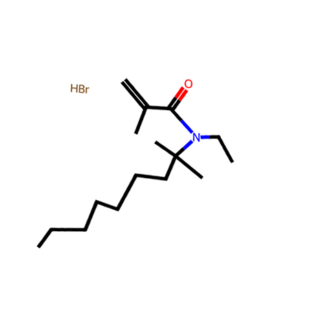 Br.C=C(C)C(=O)N(CC)C(C)(C)CCCCCCC